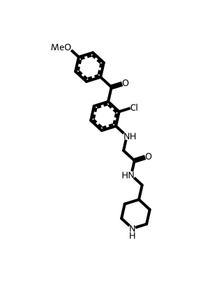 COc1ccc(C(=O)c2cccc(NCC(=O)NCC3CCNCC3)c2Cl)cc1